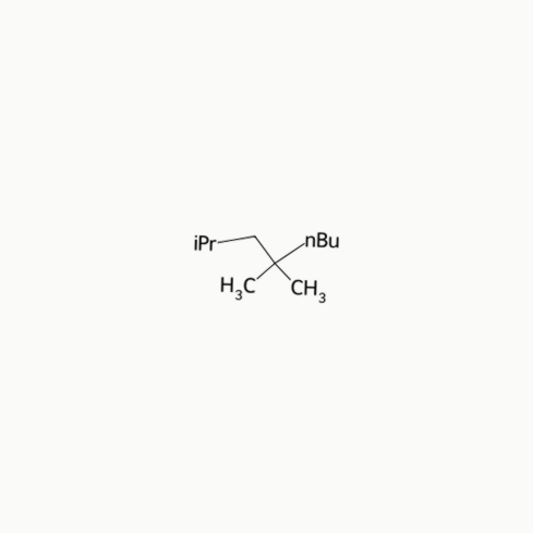 [CH2]C(C)CC(C)(C)CCCC